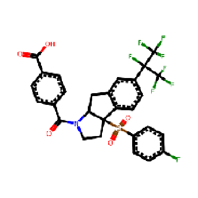 O=C(O)c1ccc(C(=O)N2CCC3(S(=O)(=O)c4ccc(F)cc4)c4ccc(C(F)(C(F)(F)F)C(F)(F)F)cc4CC23)cc1